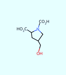 O=C(O)C1CC(CO)CN1C(=O)O